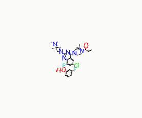 C=CC(=O)N1CCN(c2nc(N3CC(C)(N(C)C)C3)nc3c(F)c(-c4c(O)cccc4F)c(Cl)cc23)C[C@H]1C